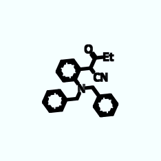 CCC(=O)C(C#N)c1ccccc1N(Cc1ccccc1)Cc1ccccc1